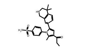 CCC(=O)c1cc(-c2ccc3c(c2)CNCC3(C)C)n(-c2ccc(S(N)(=O)=O)cc2)c1C